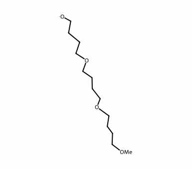 COCCCCOCCCCOCCCC[O]